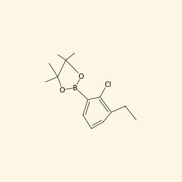 CCc1cccc(B2OC(C)(C)C(C)(C)O2)c1Cl